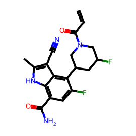 C=CC(=O)N1CC(F)CC(c2c(F)cc(C(N)=O)c3[nH]c(C)c(C#N)c23)C1